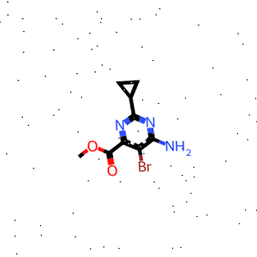 COC(=O)c1nc(C2CC2)nc(N)c1Br